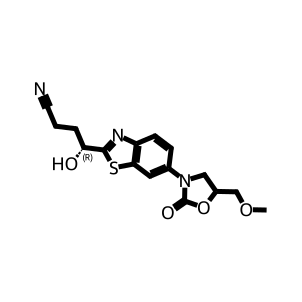 COCC1CN(c2ccc3nc([C@H](O)CCC#N)sc3c2)C(=O)O1